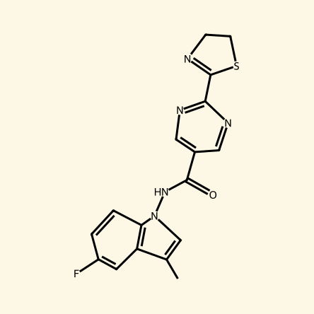 Cc1cn(NC(=O)c2cnc(C3=NCCS3)nc2)c2ccc(F)cc12